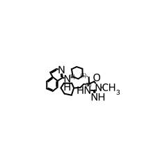 CN1C(=N)N[C@](CCC2CCCCC2)(C[C@H]2CCC[C@@H](Nc3nccc4ccccc34)C2)C1=O